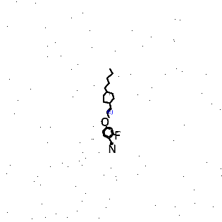 CCCCCC1CCC(/C=C/COc2ccc(C#N)c(F)c2)CC1